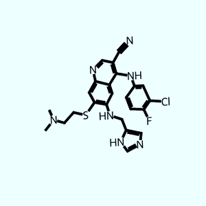 CN(C)CCSc1cc2ncc(C#N)c(Nc3ccc(F)c(Cl)c3)c2cc1NCc1cnc[nH]1